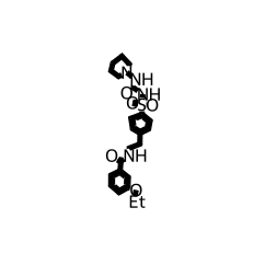 CCOc1cccc(C(=O)NCCc2ccc(S(=O)(=O)NC(=O)NN3CCCCC3)cc2)c1